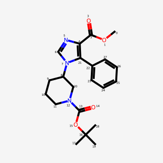 COC(=O)c1ncn(C2CCCN(C(=O)OC(C)(C)C)C2)c1-c1ccccc1